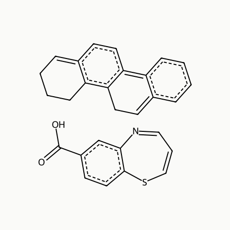 C1=c2ccc3c(c2CCC1)CC=c1ccccc1=3.O=C(O)c1ccc2c(c1)N=CC=CS2